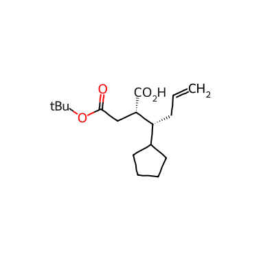 C=CC[C@H](C1CCCC1)[C@H](CC(=O)OC(C)(C)C)C(=O)O